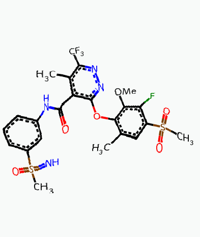 COc1c(F)c(S(C)(=O)=O)cc(C)c1Oc1nnc(C(F)(F)F)c(C)c1C(=O)Nc1cccc(S(C)(=N)=O)c1